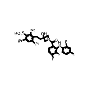 CC(C)c1cc(C(C)C)c(S(=O)(=O)O)c(C(C)C)c1CCC1(O)CN(C(=O)c2ccc(F)c(F)c2Nc2ccc(I)cc2F)C1